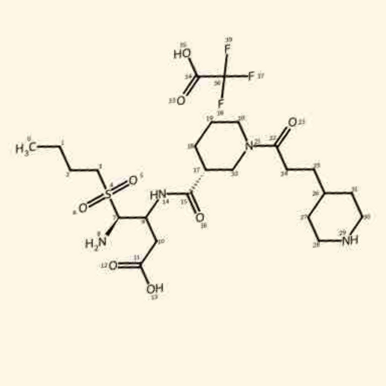 CCCCS(=O)(=O)[C@H](N)C(CC(=O)O)NC(=O)[C@@H]1CCCN(C(=O)CCC2CCNCC2)C1.O=C(O)C(F)(F)F